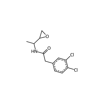 CC(NC(=O)Cc1ccc(Cl)c(Cl)c1)C1CO1